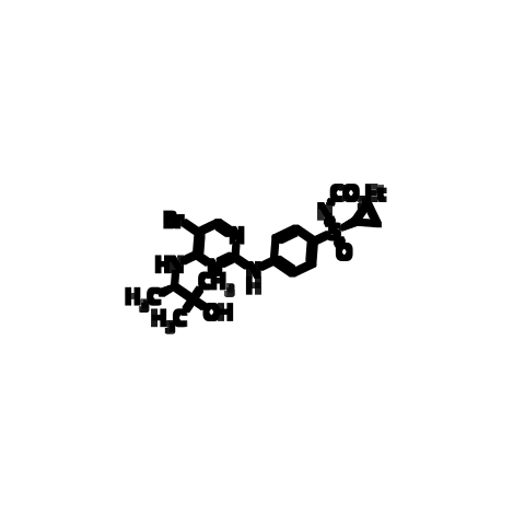 CCOC(=O)N=[S@](=O)(c1ccc(Nc2ncc(Br)c(N[C@H](C)C(C)(C)O)n2)cc1)C1CC1